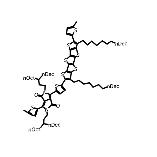 CCCCCCCCCCCCCCCCCc1c(-c2ccc(C)s2)sc2c1sc1c2sc2c3sc(-c4ccc(C5=C6C(=O)N(CCC(CCCCCCCC)CCCCCCCCCC)C(c7ccc(C)s7)=C6C(=O)N5CCC(CCCCCCCC)CCCCCCCCCC)s4)c(CCCCCCCCCCCCCCCCC)c3sc21